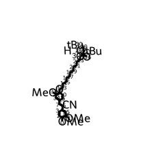 COc1ccc(/C(C#N)=C/c2ccc(OCCCCCCCCCCCOC(=O)C(C)(CC(C)(C)C)C(C)(C)C)c(OC)c2)cc1OC